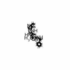 CC1(C)c2[nH]nc(Nc3ncnc4ccsc34)c2CN1C(=O)N[C@H]1C[C@@H]1c1ccccc1